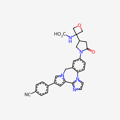 N#Cc1ccc(-c2cc3n(c2)Cc2cc(N4CC(C5(NC(=O)O)COC5)CC4=O)ccc2-n2ccnc2-3)cc1